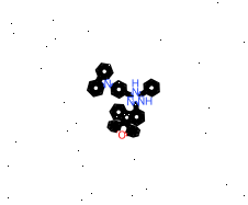 c1ccc(C2NC(c3ccc(-n4c5ccccc5c5ccccc54)cc3)=NC(c3cccc4c3-c3ccccc3C43c4ccccc4Oc4ccccc43)N2)cc1